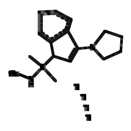 CC(C)(C)N[Si](C)(C)C1C=C(N2CCCC2)c2ccccc21.[Ti].[Ti].[Ti].[Ti]